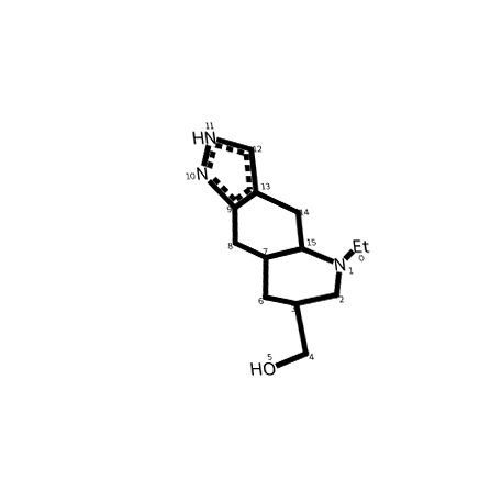 CCN1CC(CO)CC2Cc3n[nH]cc3CC21